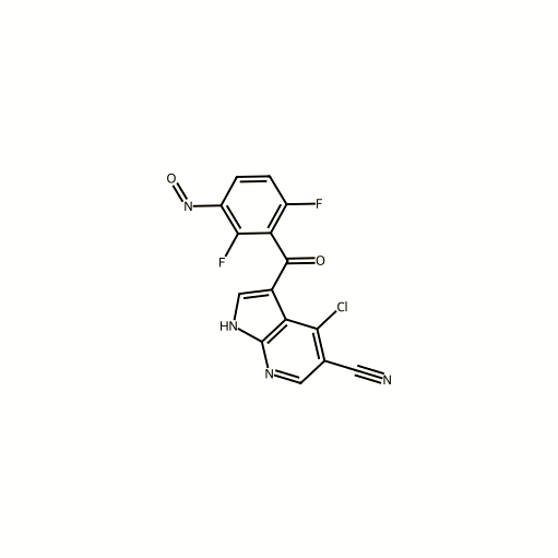 N#Cc1cnc2[nH]cc(C(=O)c3c(F)ccc(N=O)c3F)c2c1Cl